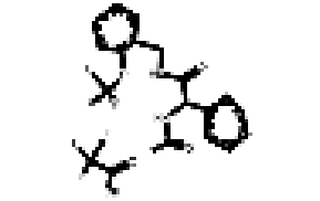 CC(=O)NC(C(=O)NCc1ccccc1OC(F)(F)F)c1ccccc1.O=C(O)C(F)(F)F